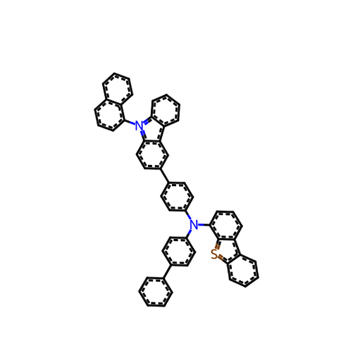 c1ccc(-c2ccc(N(c3ccc(-c4ccc5c(c4)c4ccccc4n5-c4cccc5ccccc45)cc3)c3cccc4c3sc3ccccc34)cc2)cc1